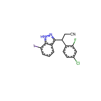 N#CCC(c1ccc(Cl)cc1F)c1n[nH]c2c(I)cccc12